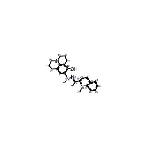 C/C(=N\N(C)c1cc2c3c(c1O)CCCN3CCC2)c1ccc2ccccc2[n+]1C